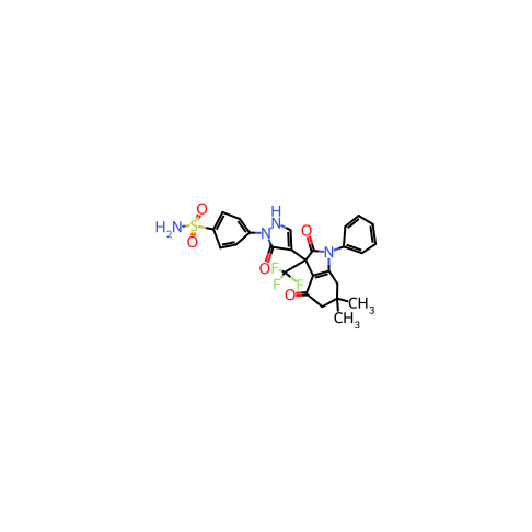 CC1(C)CC(=O)C2=C(C1)N(c1ccccc1)C(=O)C2(c1c[nH]n(-c2ccc(S(N)(=O)=O)cc2)c1=O)C(F)(F)F